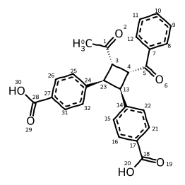 CC(=O)[C@@H]1[C@H](C(=O)c2ccccc2)[C@@H](c2ccc(C(=O)O)cc2)[C@H]1c1ccc(C(=O)O)cc1